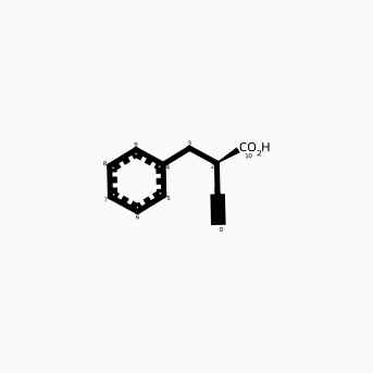 C#C[C@@H](Cc1ccccc1)C(=O)O